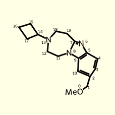 COCc1ccc2nc3n(c2c1)CCN(C1CCC1)CC3